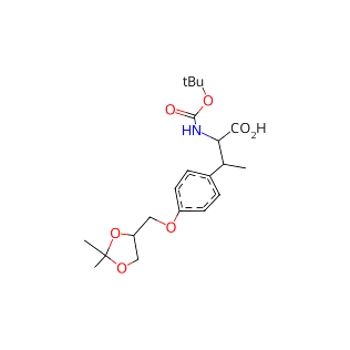 CC(c1ccc(OCC2COC(C)(C)O2)cc1)C(NC(=O)OC(C)(C)C)C(=O)O